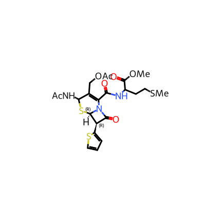 COC(=O)C(CCSC)NC(=O)C1=C(COC(C)=O)C(NC(C)=O)S[C@@H]2[C@H](c3cccs3)C(=O)N12